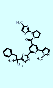 Cc1csc([C@H]2CCCN2C(=O)c2cc(-c3nnc(C(C)(N)Cc4ccccc4)o3)nc(-c3ccnn3C)c2)n1